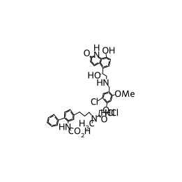 COc1cc(OCC(=O)N(C)CCCc2ccc(-c3ccccc3)c(NC(=O)O)c2)c(Cl)cc1CNC[C@H](O)c1ccc(O)c2[nH]c(=O)ccc12.Cl.Cl